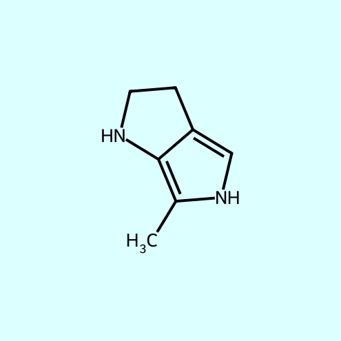 Cc1[nH]cc2c1NCC2